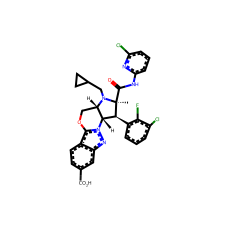 C[C@]1(C(=O)Nc2cccc(Cl)n2)[C@@H](c2cccc(Cl)c2F)[C@H]2[C@H](COc3c4ccc(C(=O)O)cc4nn32)N1CC1CC1